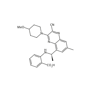 COC1CCN(c2nc3c([C@@H](C)Nc4ccccc4C(=O)O)cc(C)cc3nc2C#N)CC1